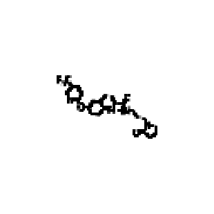 O=C(NCCCN1CCCC1=O)c1ccc2cc(Oc3ccc(C(F)(F)F)cn3)ccc2n1